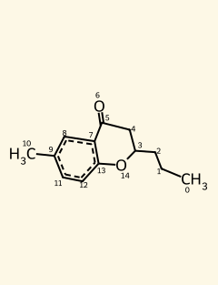 CCCC1CC(=O)c2cc(C)ccc2O1